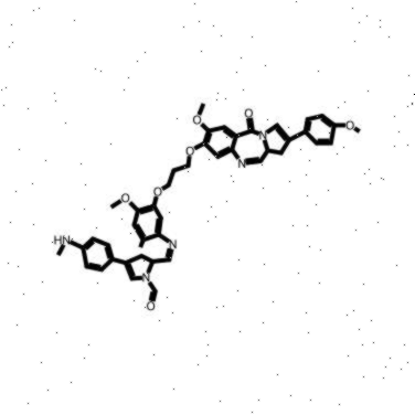 CNc1ccc(C2=CN(C=O)C(/C=N\c3cc(OCCCOc4cc5c(cc4OC)C(=O)N4C=C(c6ccc(OC)cc6)CC4C=N5)c(OC)cc3C)C2)cc1